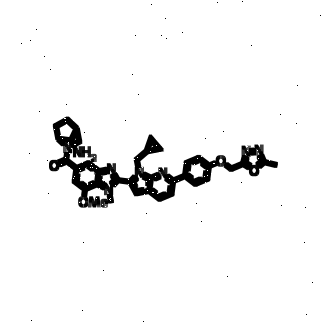 COc1cc(C(=O)N2CC3CCC2C3N)cc2nc(-c3cc4ccc(-c5ccc(OCc6nnc(C)o6)cc5)nc4n3CC3CC3)n(C)c12